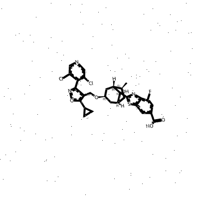 C[C@H]1C[C@@H]2C[C@@H](OCc3c(-c4c(Cl)cncc4Cl)noc3C3CC3)C[C@H]1[C@]2(O)c1nc2c(F)cc(C(=O)O)cc2s1